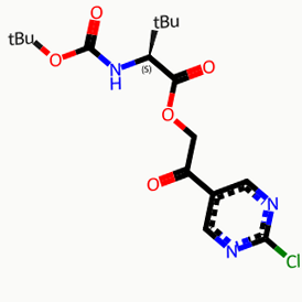 CC(C)(C)OC(=O)N[C@H](C(=O)OCC(=O)c1cnc(Cl)nc1)C(C)(C)C